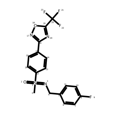 CS(=O)(=NCc1ccc(F)cc1)c1ccc(-c2noc(C(F)(F)F)n2)cc1